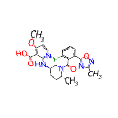 COc1ccnc(N[C@@H]2CC[C@@H](C)N(C(=O)c3c(F)cccc3-c3nc(C)no3)C2)c1C(=O)O